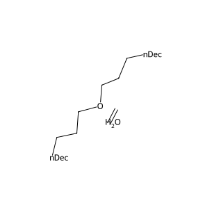 C=C.CCCCCCCCCCCCCOCCCCCCCCCCCCC.O